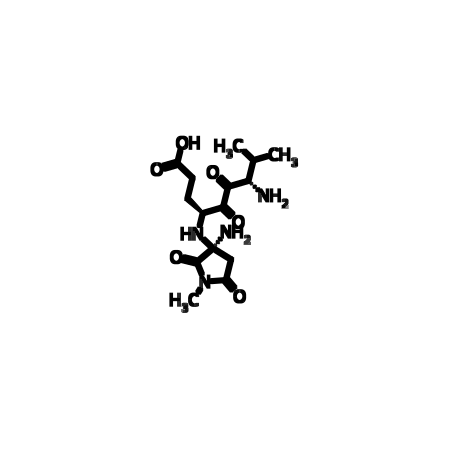 CC(C)[C@H](N)C(=O)C(=O)[C@H](CCC(=O)O)N[C@@]1(N)CC(=O)N(C)C1=O